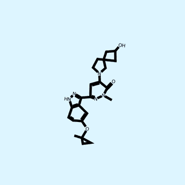 Cn1nc(-c2n[nH]c3ccc(OC4(C)CC4)cc23)cc(N2CCC3(CC(O)C3)C2)c1=O